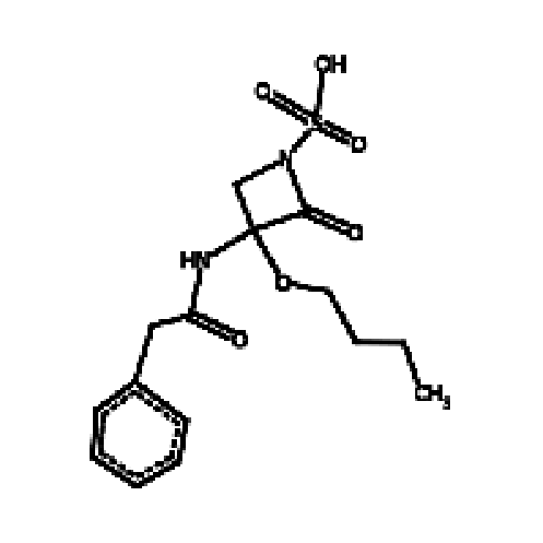 CCCCOC1(NC(=O)Cc2ccccc2)CN(S(=O)(=O)O)C1=O